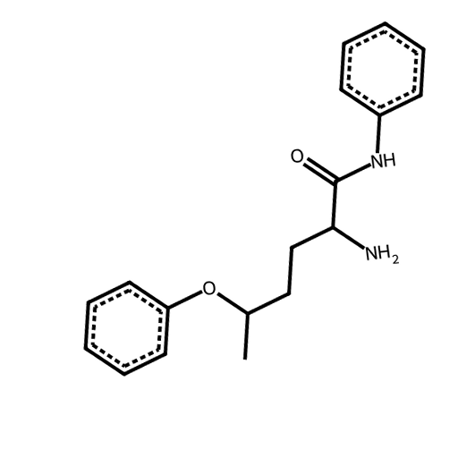 CC(CCC(N)C(=O)Nc1ccccc1)Oc1ccccc1